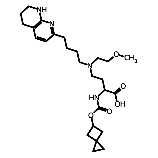 COCCN(CCCCc1ccc2c(n1)NCCC2)CCC(NC(=O)OC1CC2(CC2)C1)C(=O)O